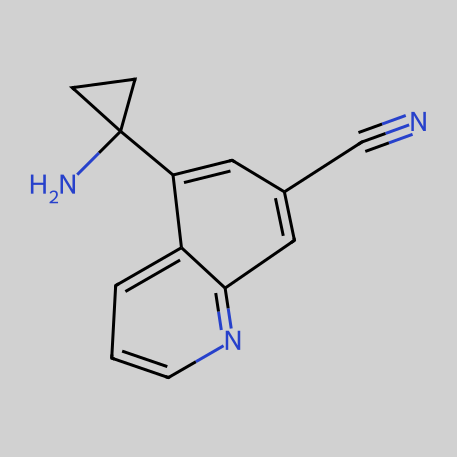 N#Cc1cc(C2(N)CC2)c2cccnc2c1